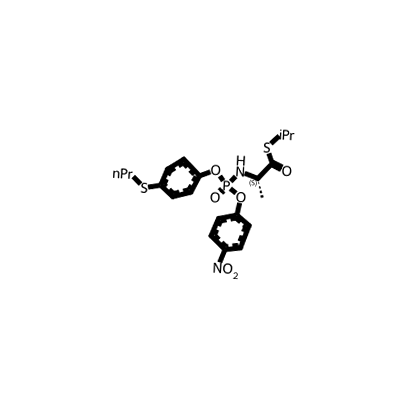 CCCSc1ccc(OP(=O)(N[C@@H](C)C(=O)SC(C)C)Oc2ccc([N+](=O)[O-])cc2)cc1